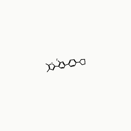 Cc1cc(-c2ccc(-c3ccc(C4CCCC4)cc3)cc2F)sc1C